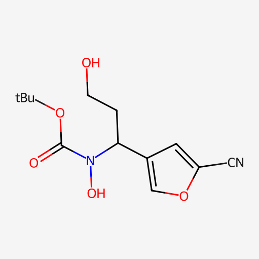 CC(C)(C)OC(=O)N(O)C(CCO)c1coc(C#N)c1